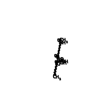 CCCCCCCCCCC(=O)O[C@H](COC(=O)CCCCCCCCCCNC(C)=O)COP(=O)(O)O